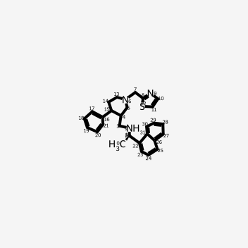 C[C@@H](NCC1CN(Cc2nccs2)CCC1c1ccccc1)c1cccc2ccccc12